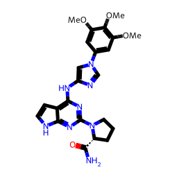 COc1cc(-n2cnc(Nc3nc(N4CCC[C@@H]4C(N)=O)nc4[nH]ccc34)c2)cc(OC)c1OC